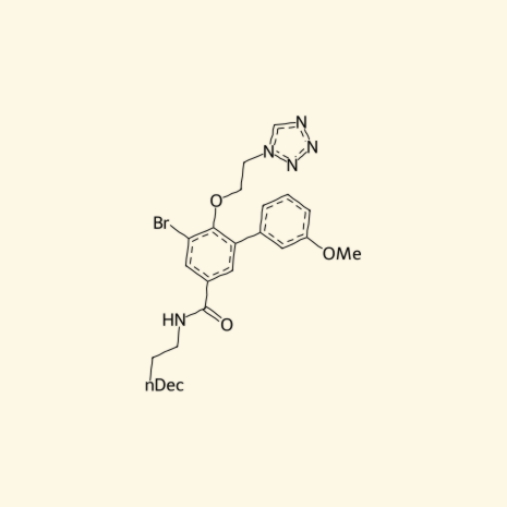 CCCCCCCCCCCCNC(=O)c1cc(Br)c(OCCn2cnnn2)c(-c2cccc(OC)c2)c1